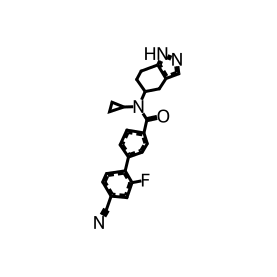 N#Cc1ccc(-c2ccc(C(=O)N(C3CC3)C3CCc4[nH]ncc4C3)cc2)c(F)c1